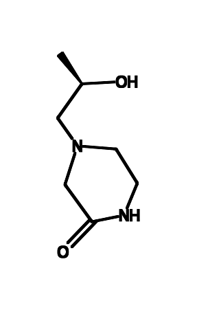 C[C@@H](O)CN1CCNC(=O)C1